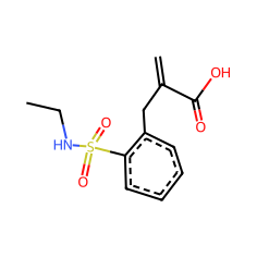 C=C(Cc1ccccc1S(=O)(=O)NCC)C(=O)O